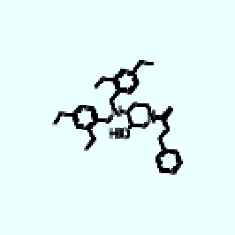 C=C(CCc1ccccc1)N1CCC(N(Cc2ccc(CC)cc2CC)Cc2ccc(CC)cc2CC)C(O)C1